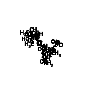 CCC(=O)N[C@H](C(=O)O)[C@H](OP(=O)(O)OCc1ccc(NC(=O)C(CCCNC(N)=O)NC(=O)C(NC(=O)CCN2C(=O)C=CC2=O)C(C)C)cc1)C(C)C